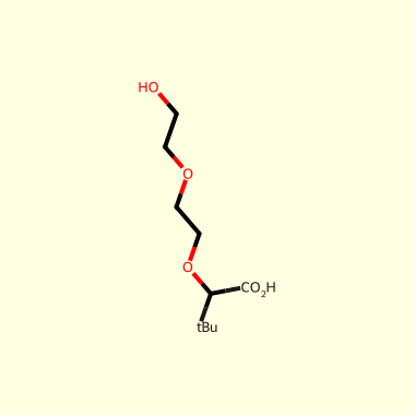 CC(C)(C)C(OCCOCCO)C(=O)O